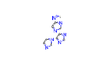 [N+3].c1c[n-]cn1.c1c[n-]cn1.c1c[n-]cn1